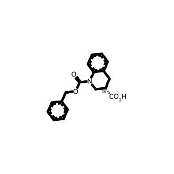 O=C(O)[C@H]1Cc2ccccc2N(C(=O)OCc2ccccc2)C1